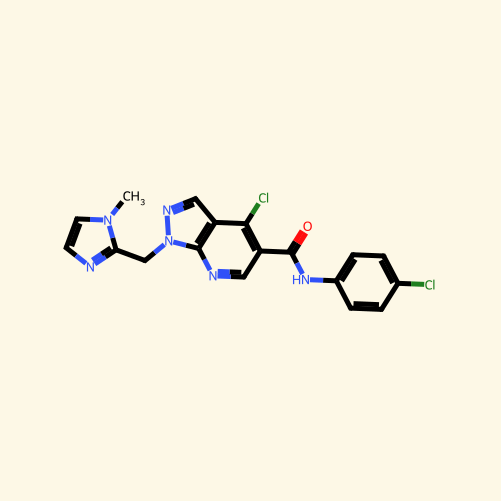 Cn1ccnc1Cn1ncc2c(Cl)c(C(=O)Nc3ccc(Cl)cc3)cnc21